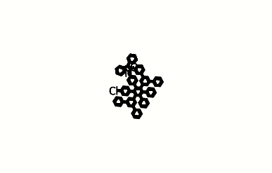 Clc1ccc(-c2c(-c3ccc(-n4c5ccccc5c5c6ccccc6oc54)cc3)c(-c3cc(-c4ccccc4)cc(-c4ccccc4)c3)c(-c3ccccc3)c(-c3ccccc3)c2-c2cc(-c3ccccc3)cc(-c3ccccc3)c2)cc1